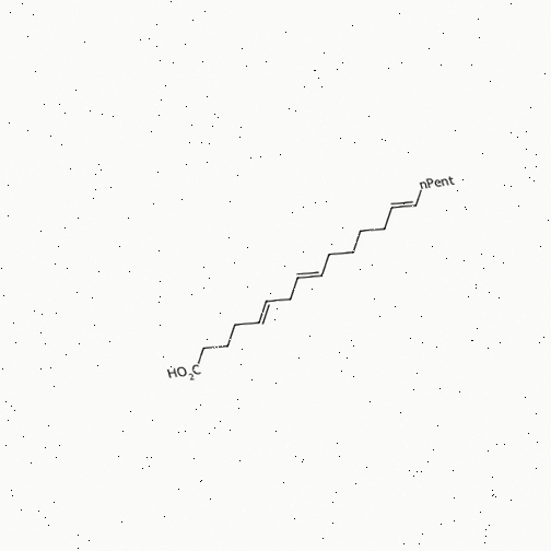 CCCCCC=CCCCCC=CCC=CCCCC(=O)O